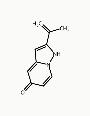 C=C(C)c1cc2cc(=O)ccn2[nH]1